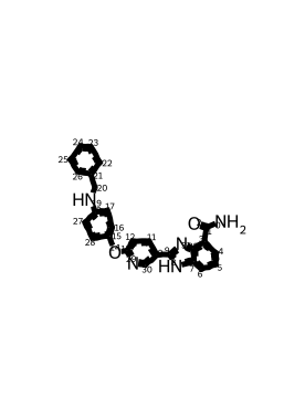 NC(=O)c1cccc2[nH]c(-c3ccc(Oc4ccc(NCc5ccccc5)cc4)nc3)nc12